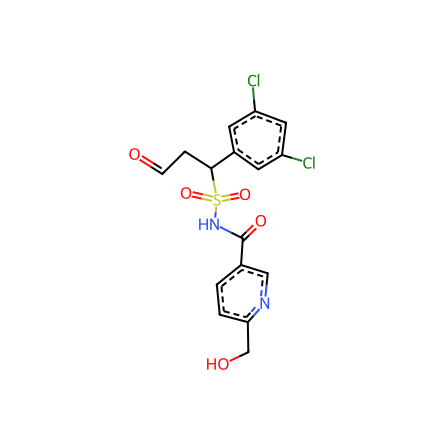 O=CCC(c1cc(Cl)cc(Cl)c1)S(=O)(=O)NC(=O)c1ccc(CO)nc1